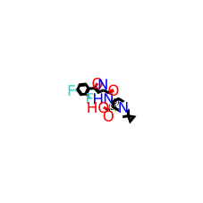 CC1(CN2CC[C@H](NC(=O)c3cc(-c4ccc(F)cc4F)on3)[C@@H](C(=O)O)C2)CC1